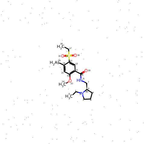 CCN1CCC[C@@H]1CNC(=O)c1cc(S(=O)(=O)CC)c([AsH2])cc1OC